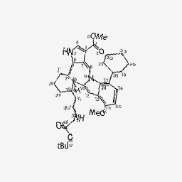 COC(=O)c1c[nH]c2c1=Cn1c(cc3c(OC)ccc(C4CCCCC4)c31)[C@H]1C=2CCCC1CCNC(=O)OC(C)(C)C